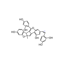 CC12C=C3C(=C(c4ccc(O)cc4O)Oc4cc(/C=C\c5ccc(O)cc5O)cc(O)c43)C1c1ccc(O)cc1O2